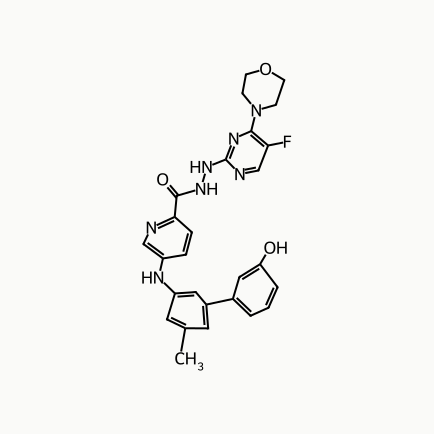 Cc1cc(Nc2ccc(C(=O)NNc3ncc(F)c(N4CCOCC4)n3)nc2)cc(-c2cccc(O)c2)c1